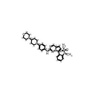 CN(c1ccccc1-c1ccc2cnc(Nc3ccc(N4CCC(N5CCOCC5)CC4)cc3)nn12)S(C)(=O)=O